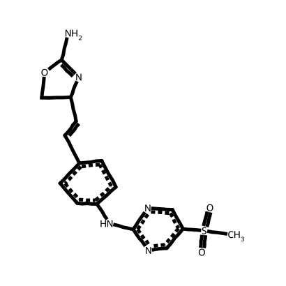 CS(=O)(=O)c1cnc(Nc2ccc(C=CC3COC(N)=N3)cc2)nc1